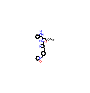 COC(=O)CC(NCc1cncc(Cc2ccc(Cn3ccccc3=O)cc2)c1)c1n[nH]c2ccccc12